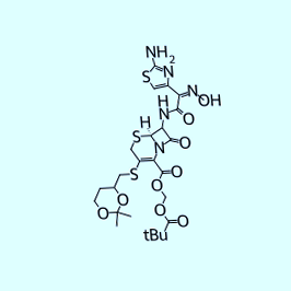 CC1(C)OCCC(CSC2=C(C(=O)OCOC(=O)C(C)(C)C)N3C(=O)C(NC(=O)/C(=N\O)c4csc(N)n4)[C@@H]3SC2)O1